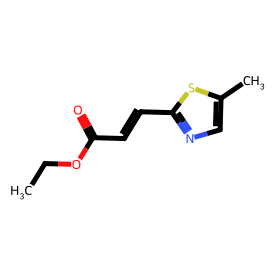 CCOC(=O)/C=C/c1ncc(C)s1